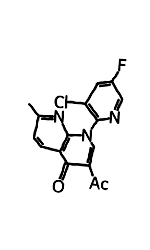 CC(=O)c1cn(-c2ncc(F)cc2Cl)c2nc(C)ccc2c1=O